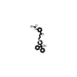 CC(C)C(=O)Oc1cccc(C(=O)CCCN2CCC(C(O)(c3ccccc3)c3ccccc3)CC2)c1